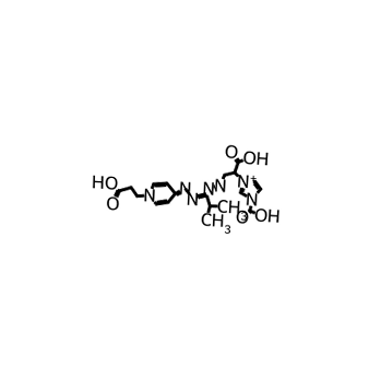 CC(C)C(N=NCC(C(=O)O)[n+]1ccn(C(=O)O)c1)=NN=c1ccn(CCC(=O)O)cc1